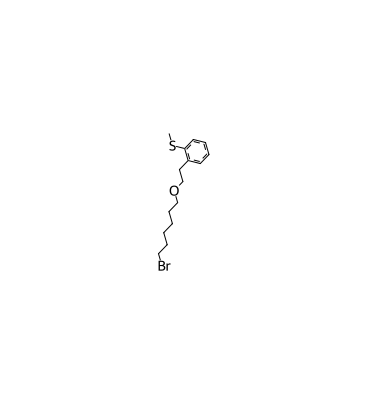 CSc1ccccc1CCOCCCCCCBr